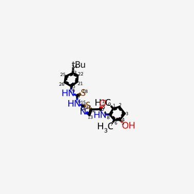 Cc1ccc(O)c(C)c1NC(=O)c1cnc(NC(=S)Nc2ccc(C(C)(C)C)cc2)s1